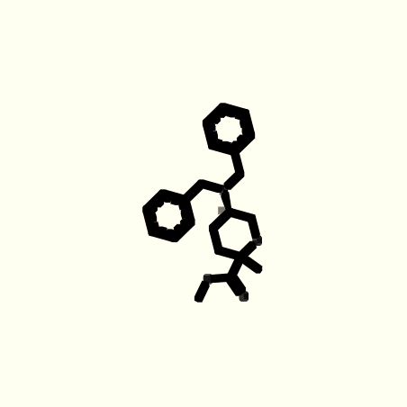 COC(=O)C1(C)CC[C@@H](N(Cc2ccccc2)Cc2ccccc2)CO1